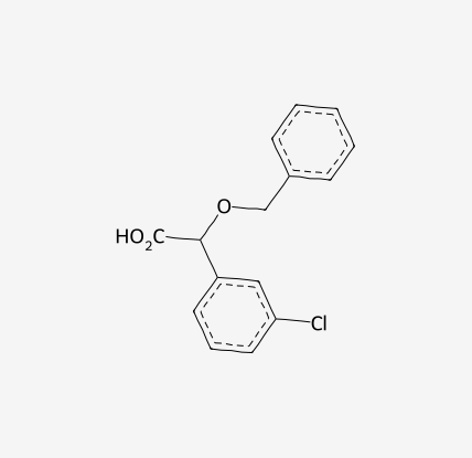 O=C(O)C(OCc1ccccc1)c1cccc(Cl)c1